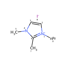 CCC[n+]1ccn(C)c1C.[I-]